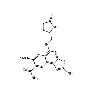 COc1cc2c(NC[C@@H]3CCC(=O)N3)nc3sc(N)nc3c2cc1C(N)=O